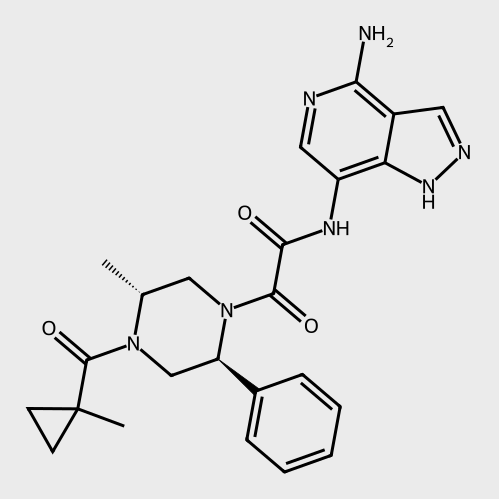 C[C@@H]1CN(C(=O)C(=O)Nc2cnc(N)c3cn[nH]c23)[C@@H](c2ccccc2)CN1C(=O)C1(C)CC1